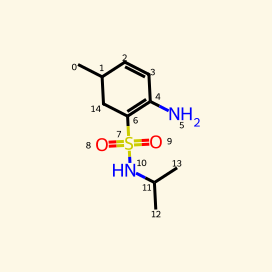 CC1C=CC(N)=C(S(=O)(=O)NC(C)C)C1